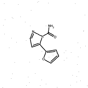 NC(=O)n1n[c]cc1-c1ccco1